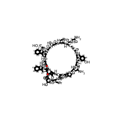 CCCC[C@H]1C(=O)N(C)[C@@H](CCCC)C(=O)N[C@@H](CC(C)C)C(=O)N[C@H](C(=O)NCC(N)=O)CSCC(=O)N[C@@H](Cc2ccc(O)cc2)C(=O)N(C)[C@@H](C)C(=O)N[C@@H](CC(N)=O)C(=O)N2CCC[C@H]2C(=O)N[C@H]2CNc3c(c(=O)c3=O)NCC[C@H](NC(=O)[C@H](Cc3c[nH]c4ccccc34)NC(=O)[C@@H]3C[C@@H](O)CN3C(=O)[C@H](CC(C)C)NC2=O)C(=O)N[C@@H](Cc2cn(CC(=O)O)c3ccccc23)C(=O)N1C